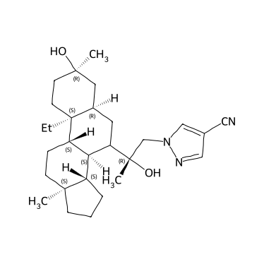 CC[C@]12CC[C@@](C)(O)C[C@H]1CC([C@@](C)(O)Cn1cc(C#N)cn1)[C@H]1[C@@H]3CCC[C@@]3(C)CC[C@@H]12